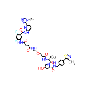 Cc1ncsc1-c1ccc(CNC(=O)[C@@H]2C[C@@H](O)CN2C(=O)[C@H](NC(=O)CCOCCNC(=O)CCC(=O)Nc2cc(C(=O)Nc3cccc(-c4nncn4C(C)C)n3)c(F)cc2F)C(C)(C)C)cc1